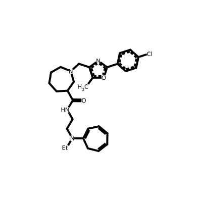 CCN(CCNC(=O)C1CCCCN(Cc2nc(-c3ccc(Cl)cc3)oc2C)C1)C1=CC=CC=CC1